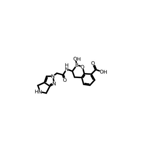 O=C(Cn1cc2c(n1)CNC2)NC1Cc2cccc(C(=O)O)c2OB1O